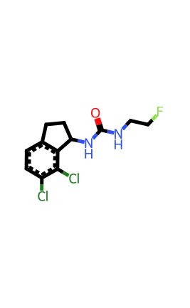 O=C(NCCF)NC1CCc2ccc(Cl)c(Cl)c21